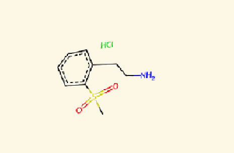 CS(=O)(=O)c1ccccc1CCN.Cl